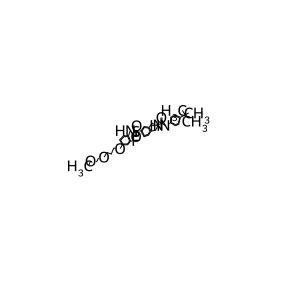 COCCOCCCOc1ccc(NS(=O)(=O)c2ccc3c(c2)CN(C(=O)Nc2ccc(C(C)(C)C)cc2)C3)c(F)c1